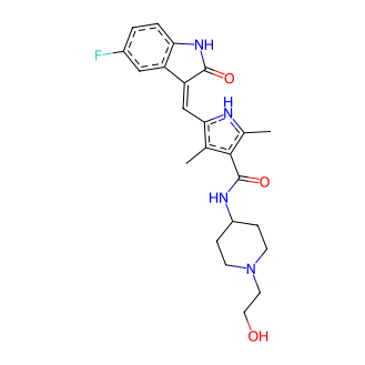 Cc1[nH]c(/C=C2\C(=O)Nc3ccc(F)cc32)c(C)c1C(=O)NC1CCN(CCO)CC1